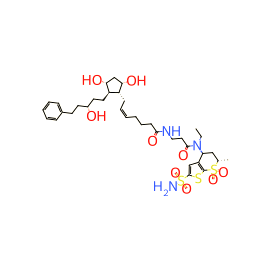 CCN(C(=O)CCNC(=O)CCC/C=C\C[C@@H]1[C@@H](CC[C@H](O)CCc2ccccc2)[C@H](O)C[C@@H]1O)[C@H]1C[C@H](C)S(=O)(=O)c2sc(S(N)(=O)=O)cc21